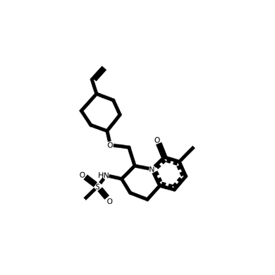 C=CC1CCC(OCC2C(NS(C)(=O)=O)CCc3ccc(C)c(=O)n32)CC1